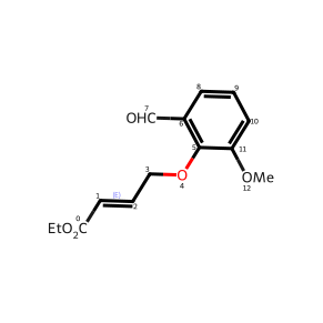 CCOC(=O)/C=C/COc1c(C=O)cccc1OC